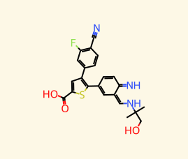 CC(C)(CO)N/C=C1/C=C(c2sc(C(=O)O)cc2-c2ccc(C#N)c(F)c2)C=CC1=N